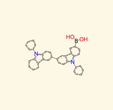 OB(O)c1ccc2c(c1)c1cc(-c3ccc4c(c3)c3ccccc3n4-c3ccccc3)ccc1n2-c1ccccc1